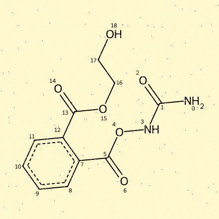 NC(=O)NOC(=O)c1ccccc1C(=O)OCCO